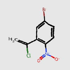 C=C(Cl)c1cc(Br)ccc1[N+](=O)[O-]